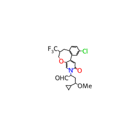 COC(CC(C=O)n1cc2c(cc1=O)-c1cc(Cl)ccc1CC(C(F)(F)F)CO2)C1CC1